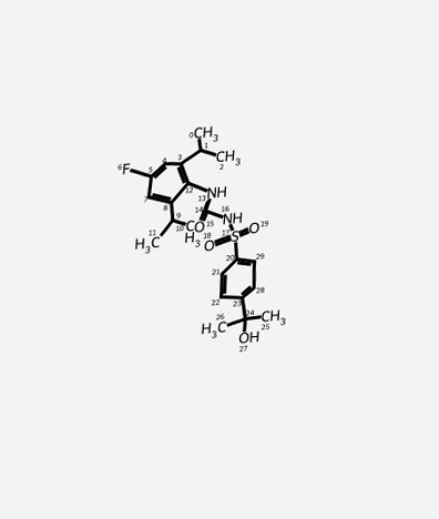 CC(C)c1cc(F)cc(C(C)C)c1NC(=O)NS(=O)(=O)c1ccc(C(C)(C)O)cc1